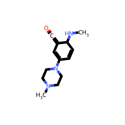 CNC1C=CC(N2CCN(C)CC2)=CC1=C=O